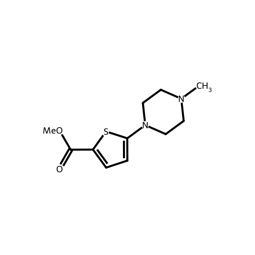 COC(=O)c1ccc(N2CCN(C)CC2)s1